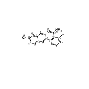 Cc1nccc(-c2ccc3nc(Cl)ccc3c2)c1C(N)=O